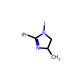 CC1CN(I)C(C(C)C)=N1